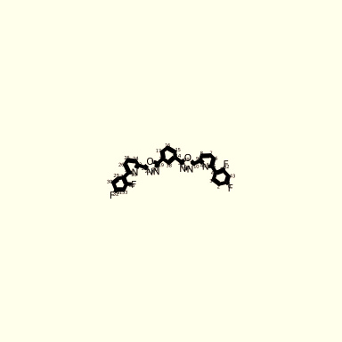 Fc1ccc(-c2cccc(-c3nnc(-c4cccc(-c5nnc(-c6cccc(-c7ccc(F)cc7F)n6)o5)c4)o3)n2)c(F)c1